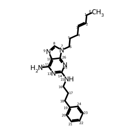 CCC=CCCCn1cnc2c(N)nc(NCCCc3ccccc3)nc21